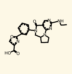 CCNc1ncc2c(n1)N1CCCC1CN(c1cccc(-c3nc(C(=O)O)co3)c1)C2=O